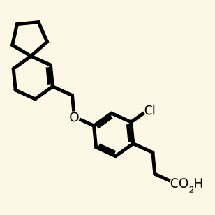 O=C(O)CCc1ccc(OCC2=CC3(CCCC3)CCC2)cc1Cl